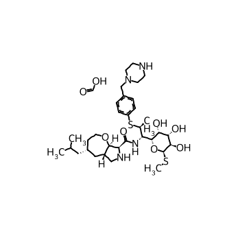 CS[C@H]1O[C@H]([C@H](NC(=O)[C@H]2NC[C@@H]3C[C@H](CC(C)C)CCO[C@H]32)[C@H](C)Sc2ccc(CN3CCNCC3)cc2)[C@H](O)[C@H](O)[C@H]1O.O=CO